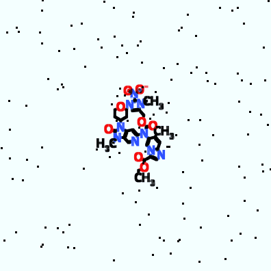 CCOC(=O)c1cnc2cc(C)c(N(C(=O)OCc3cnc([N+](=O)[O-])n3C)c3cc4c(cn3)n(C)c(=O)n4C3CCOCC3)cn12